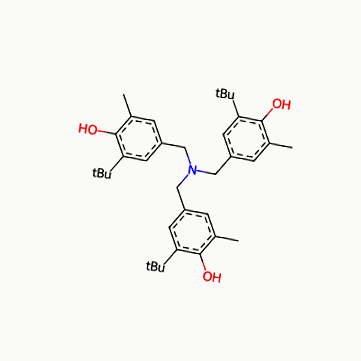 Cc1cc(CN(Cc2cc(C)c(O)c(C(C)(C)C)c2)Cc2cc(C)c(O)c(C(C)(C)C)c2)cc(C(C)(C)C)c1O